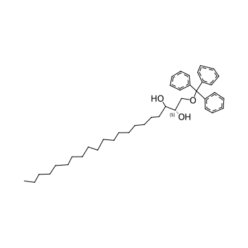 CCCCCCCCCCCCCCCCCCC(O)[C@@H](O)COC(c1ccccc1)(c1ccccc1)c1ccccc1